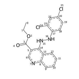 CCOC(=O)c1cnc2ccccc2c1NNc1ccc(Cl)cc1Cl